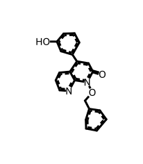 O=c1cc(-c2cccc(O)c2)c2cccnc2n1OCc1ccccc1